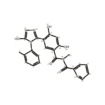 Cc1ccccc1-n1c(O)nnc1-c1cc(C(=O)N(C)C(=O)c2ccccn2)c(O)cc1O